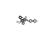 NC(=O)C1(C(=O)N[C@H](Cc2ccccc2)C(=O)NCCC2CCN(C3CCOCC3)CC2)CCCC1